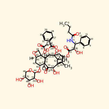 CCCC(=O)NC(c1ccccc1)[C@@H](O)C(=O)O[C@H]1C[C@@]2(O)[C@@H](OC(=O)c3ccccc3)[C@@H]3[C@]4(OC(C)=O)CO[C@@H]4C[C@H](OC4OC[C@H](O)[C@@H](O)[C@@H]4O)[C@@]3(C)C(=O)[C@H](O)C(=C1C)C2(C)C